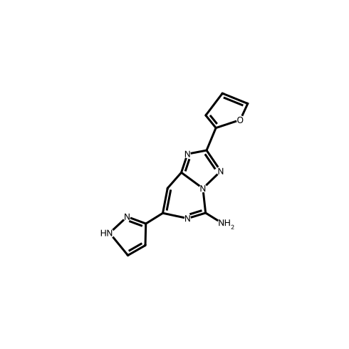 Nc1nc(-c2cc[nH]n2)cc2nc(-c3ccco3)nn12